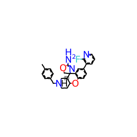 Cc1ccc(CN2CCC3Oc4ccc(-c5cccnc5F)cc4C4(COC(N)=N4)[C@H]3C2)cc1